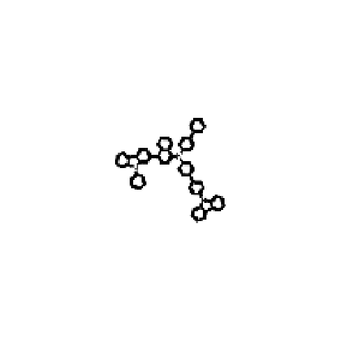 c1ccc(-c2ccc(N(c3ccc(-c4ccc(-n5c6ccccc6c6ccccc65)cc4)cc3)c3ccc(-c4ccc5c6ccccc6n(-c6ccccc6)c5c4)c4ccccc34)cc2)cc1